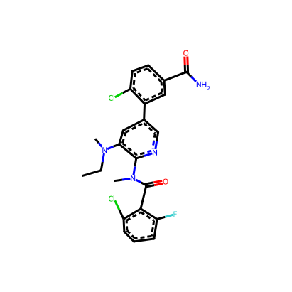 CCN(C)c1cc(-c2cc(C(N)=O)ccc2Cl)cnc1N(C)C(=O)c1c(F)cccc1Cl